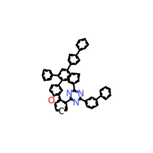 c1ccc(-c2ccc(-c3ccc(-c4ccc5oc6cccc(-c7nc(-c8ccccc8)nc(-c8cccc(-c9ccccc9)c8)n7)c6c5c4)c(-c4ccccc4)c3)cc2)cc1